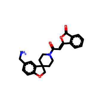 NCc1ccc2c(c1)C1(CCN(C(=O)/C=C3\OC(=O)c4ccccc43)CC1)CO2